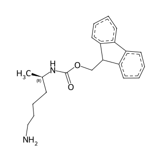 C[C@H](CCCCN)NC(=O)OCC1c2ccccc2-c2ccccc21